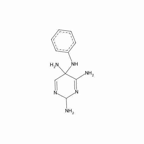 NC1=NC(N)N=CC1(N)Nc1ccccc1